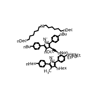 CCCCCCC1=C(c2ccc(CCCCCC)cc2)[N+](=[N-])C(c2ccc(CCCCCC)cc2)=C1C.CCCCCCCCCC#CC1=C(c2ccc(CCCC)cc2)[N+](=[N-])C(c2ccc(CCCC)cc2)=C1CCCCCCCC.CCCCCCCCCCCCCCC[CH2][Ni][CH2]CCCCCCCCCCCCCCC.C[CH2][Pd][CH2]C